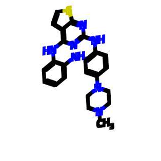 CN1CCN(c2ccc(Nc3nc(Nc4ccccc4N)c4ccsc4n3)cc2)CC1